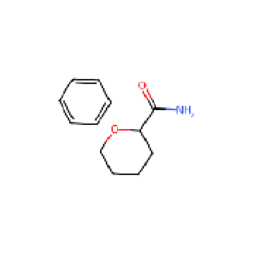 NC(=O)C1CCCCO1.c1ccccc1